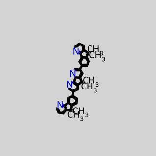 CC1(C)c2ccc(-c3cnc4c(c3)C(C)(C)c3cc(-c5ccc6c(c5)-c5ncccc5C6(C)C)cnc3-4)cc2-c2ncccc21